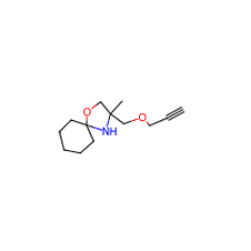 C#CCOCC1(C)COC2(CCCCC2)N1